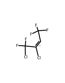 FC(F)(F)/C=C(/Cl)C(F)(F)Cl